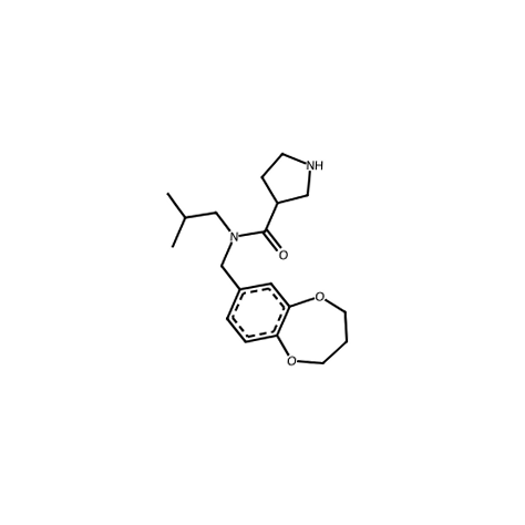 CC(C)CN(Cc1ccc2c(c1)OCCCO2)C(=O)C1CCNC1